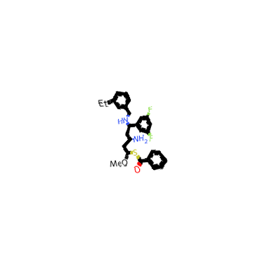 CCc1cccc(CNC(C[C@H](N)CC(OC)SC(=O)c2ccccc2)c2cc(F)cc(F)c2)c1